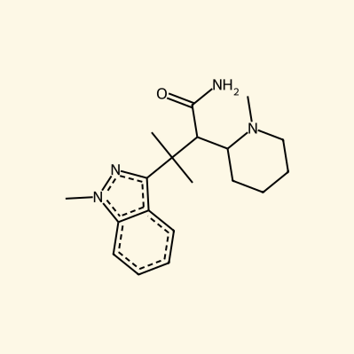 CN1CCCCC1C(C(N)=O)C(C)(C)c1nn(C)c2ccccc12